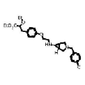 CCOC(=O)[C@H](Cc1ccc(OCCN[C@H]2C3CN(Cc4ccc(Cl)cc4)C[C@@H]32)cc1)OCC